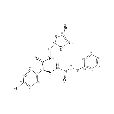 O=C(NC[C@H](C(=O)NCC1CC(Br)=NO1)c1ccc(F)cc1)OCc1ccccc1